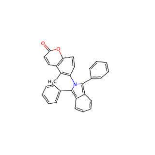 Cc1c(-n2c(-c3ccccc3)c3ccccc3c2-c2ccccc2)ccc2oc(=O)ccc12